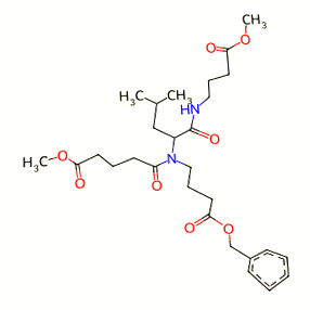 COC(=O)CCCNC(=O)C(CC(C)C)N(CCCC(=O)OCc1ccccc1)C(=O)CCCC(=O)OC